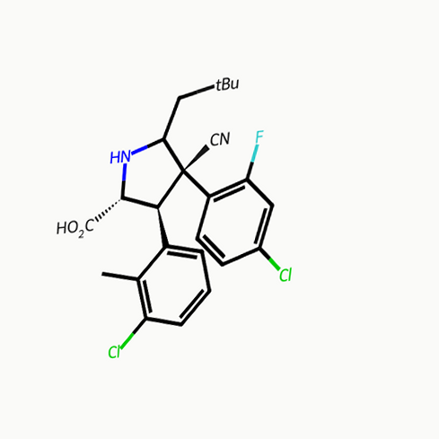 Cc1c(Cl)cccc1[C@H]1[C@H](C(=O)O)NC(CC(C)(C)C)[C@]1(C#N)c1ccc(Cl)cc1F